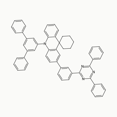 c1ccc(-c2cc(-c3ccccc3)cc(N3c4ccccc4C4(CCCCC4)c4cc(-c5cccc(-c6nc(-c7ccccc7)nc(-c7ccccc7)n6)c5)ccc43)c2)cc1